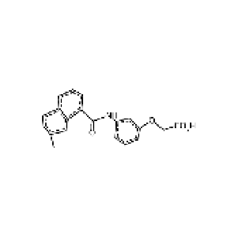 Cc1ccc2cccc(C(=O)Nc3cccc(OCC(=O)O)c3)c2c1